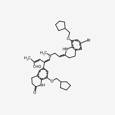 C/C(C=O)=C/C(=C\N(C)C/C=C1/CCc2cc(Br)cc(OCC3CCCC3)c2N1)c1cc2c(c(OCC3CCCC3)c1)NC(=O)CC2